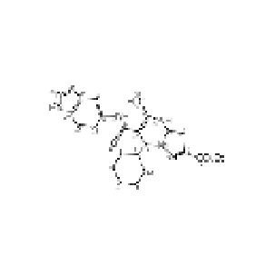 CCOC(=O)c1cc2n(n1)C(C1CCCCC1)C(C(=O)Nc1ccc3[nH]ncc3c1)=C(C)N2